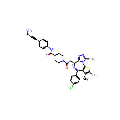 Cc1sc2c(c1C)C(c1ccc(Cl)cc1)=N[C@@H](CC(=O)N1CCC(C(=O)Nc3ccc(C#CCN)cc3)CC1)c1nnc(C)n1-2